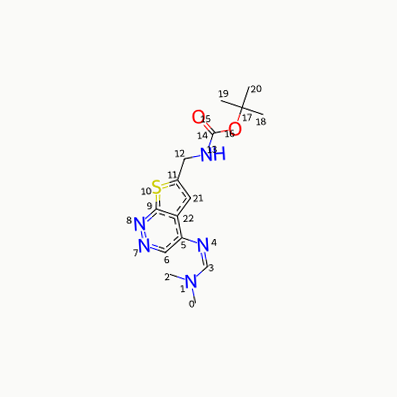 CN(C)/C=N\c1cnnc2sc(CNC(=O)OC(C)(C)C)cc12